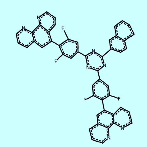 Fc1cc(-c2nc(-c3cc(F)c(-c4cc5cccnc5c5ncccc45)c(F)c3)nc(-c3ccc4ccccc4c3)n2)cc(F)c1-c1cc2cccnc2c2ncccc12